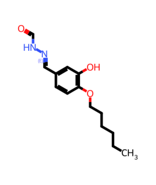 CCCCCCOc1ccc(/C=N/NC=O)cc1O